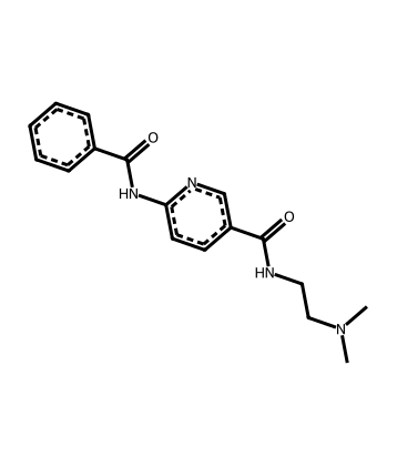 CN(C)CCNC(=O)c1ccc(NC(=O)c2ccccc2)nc1